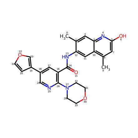 Cc1cc2nc(O)cc(C)c2cc1NC(=O)c1cc(-c2ccoc2)cnc1N1CCOCC1